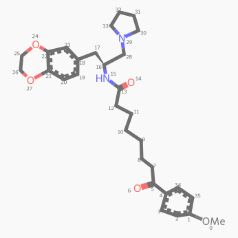 COc1ccc(C(=O)CCCCCCC(=O)N[C@@H](Cc2ccc3c(c2)OCCO3)CN2CCCC2)cc1